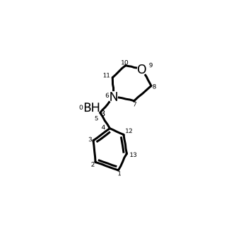 B.c1ccc(CN2CCOCC2)cc1